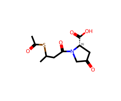 CC(=O)SC(C)CC(=O)N1CC(=O)C[C@H]1C(=O)O